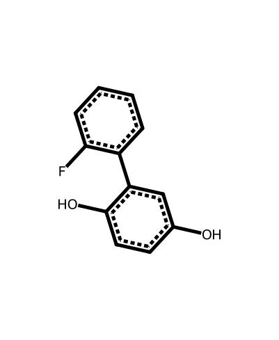 Oc1ccc(O)c(-c2ccccc2F)c1